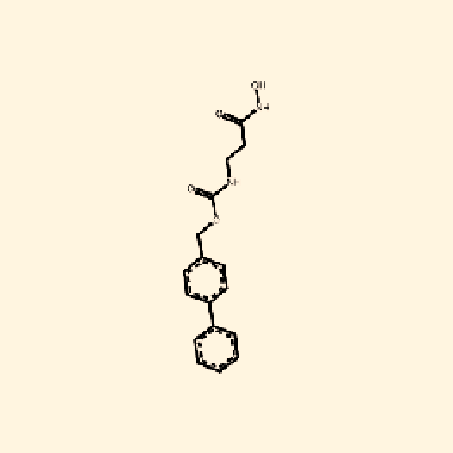 O=C(CCNC(=O)OCc1ccc(-c2ccccc2)cc1)NO